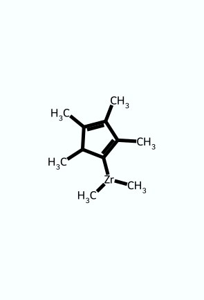 CC1=C(C)C(C)[C]([Zr]([CH3])[CH3])=C1C